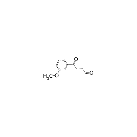 COc1cccc(C(=O)CCC=O)c1